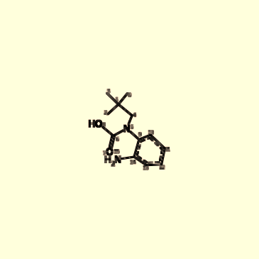 CC(C)(C)CN(C(=O)O)c1ccccc1N